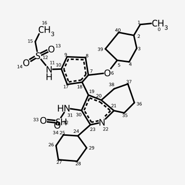 CCC1CCC(Oc2ccc(NS(=O)(=O)CC)cc2-c2c3c(nc(C4CCCCC4)c2N[SH](=O)=O)CCCC3)CC1